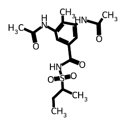 CCC(C)S(=O)(=O)NC(=O)c1cc(NC(C)=O)c(C)c(NC(C)=O)c1